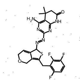 CC1(C)CC(=O)Nc2nc(N=NC3SC(Cc4c(F)ccc(F)c4F)=C4COCC=C43)nc(N)c21